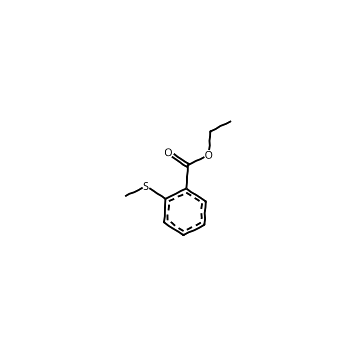 CCOC(=O)c1ccccc1SC